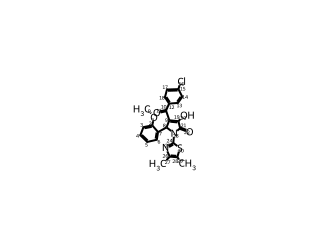 COc1ccccc1C1C(C(=O)c2ccc(Cl)cc2)=C(O)C(=O)N1c1nc(C)c(C)s1